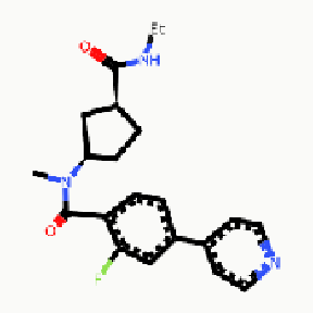 CCNC(=O)[C@H]1CC[C@@H](N(C)C(=O)c2ccc(-c3ccncc3)cc2F)C1